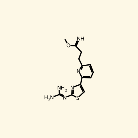 COC(=N)CCc1cccc(-c2csc(N=C(N)N)n2)n1